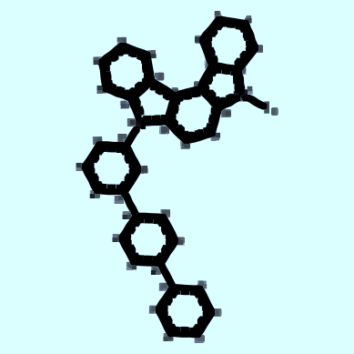 In1c2ccccc2c2c3c4ccccc4n(-c4cccc(-c5ccc(-c6ccccc6)cc5)c4)c3ccc21